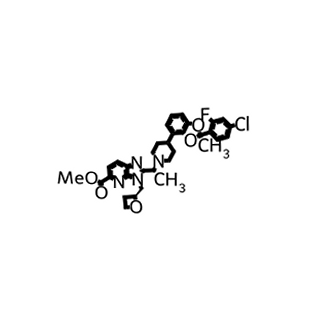 COC(=O)c1ccc2nc([C@H](C)N3CCC(c4cccc5c4OC(C)(c4ccc(Cl)cc4F)O5)CC3)n(C[C@@H]3CCO3)c2n1